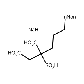 CCCCCCCCCCCCC(CC(=O)O)(C(=O)O)S(=O)(=O)O.[NaH]